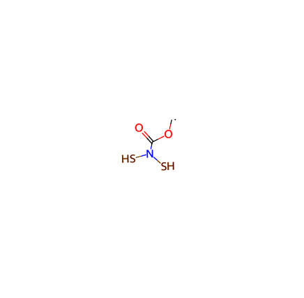 [CH2]OC(=O)N(S)S